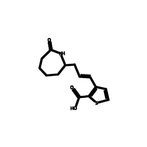 O=C1CCCCC(CC=Cc2ccsc2C(=O)O)N1